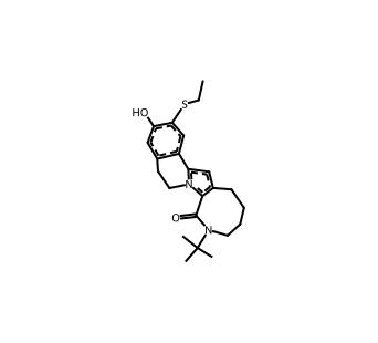 CCSc1cc2c(cc1O)CCn1c-2cc2c1C(=O)N(C(C)(C)C)CCCC2